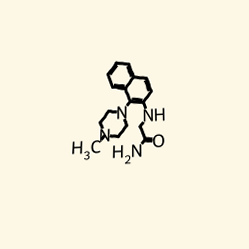 CN1CCN(c2c(NCC(N)=O)ccc3ccccc23)CC1